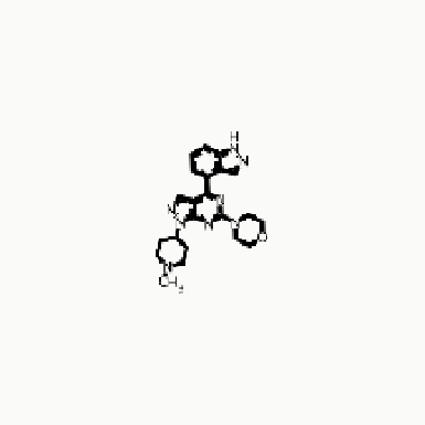 CN1CCC(n2ncc3c(-c4cccc5[nH]ncc45)nc(N4CCOCC4)nc32)CC1